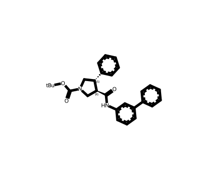 CC(C)(C)OC(=O)N1C[C@H](C(=O)Nc2cccc(-c3ccccc3)c2)[C@@H](c2ccccc2)C1